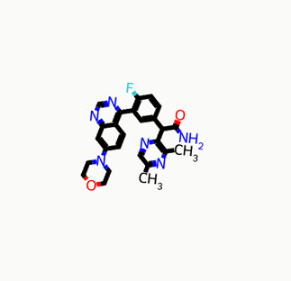 Cc1cnc(C(C(N)=O)c2ccc(F)c(-c3ncnc4cc(N5CCOCC5)ccc34)c2)c(C)n1